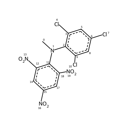 CN(c1c(Cl)cc(Cl)cc1Cl)c1c([N+](=O)[O-])cc([N+](=O)[O-])cc1[N+](=O)[O-]